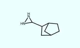 C1CC2CC1CC2C1NN1